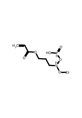 C=CC(=O)OCCC[SiH](OCC)O[PH](=O)O